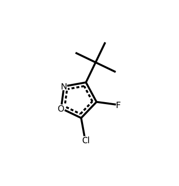 CC(C)(C)c1noc(Cl)c1F